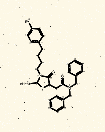 CCCCCCCC1SC(CC(=O)N(Cc2ccccc2)Cc2ccccc2)C(=O)N1CCCCc1ccc(C(C)C)cc1